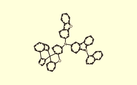 c1ccc2c(c1)Oc1cc(N(c3ccc4c(c3)oc3ccccc34)c3ccc4c(c3)c3ccccc3n4-c3cccc4ccccc34)ccc1C21c2ccccc2-c2cccc3cccc1c23